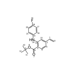 C=Cc1ccc(C(=O)OC(C)(C)C)c(Nc2ccc(F)cc2)c1